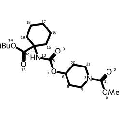 COC(=O)N1CCC(OC(=O)NC2(C(=O)OCC(C)C)CCCCC2)CC1